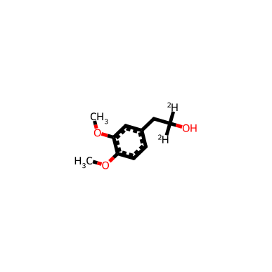 [2H]C([2H])(O)Cc1ccc(OC)c(OC)c1